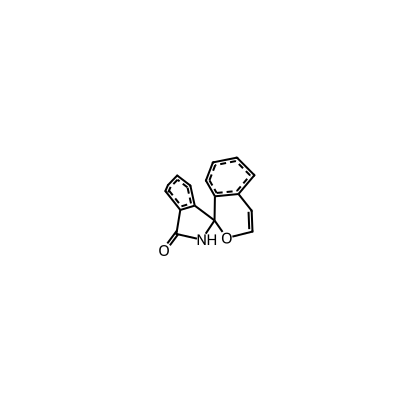 O=C1NC2(OC=Cc3ccccc32)c2ccccc21